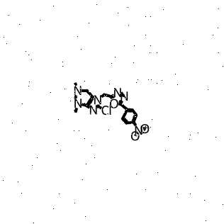 CN1Cc2c(nc(Cl)n2Cc2nnc(-c3ccc([N+](=O)[O-])cc3)o2)N(C)C1